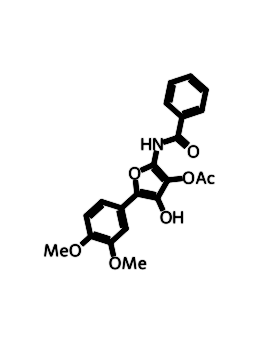 COc1ccc(-c2oc(NC(=O)c3ccccc3)c(OC(C)=O)c2O)cc1OC